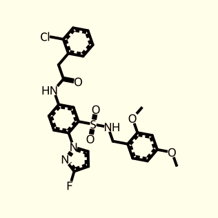 COc1ccc(CNS(=O)(=O)c2cc(NC(=O)Cc3ccccc3Cl)ccc2-n2ccc(F)n2)c(OC)c1